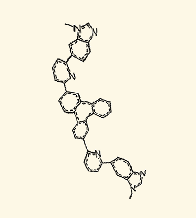 Cn1cnc2ccc(-c3cccc(-c4ccc5c6ccc(-c7cccc(-c8ccc9ncn(C)c9c8)n7)cc6c6ccccc6c5c4)n3)cc21